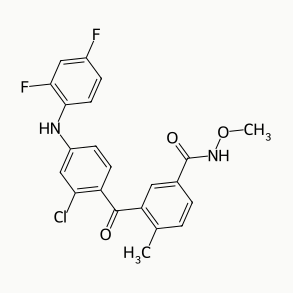 CONC(=O)c1ccc(C)c(C(=O)c2ccc(Nc3ccc(F)cc3F)cc2Cl)c1